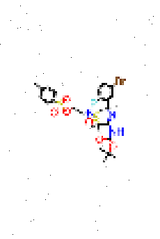 Cc1ccc(S(=O)(=O)OCCN=S2(=O)C[C@@](C)(c3cc(Br)ccc3F)N=C(NC(=O)OC(C)(C)C)C2(C)C)cc1